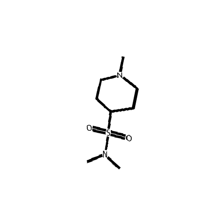 CN1CCC(S(=O)(=O)N(C)C)CC1